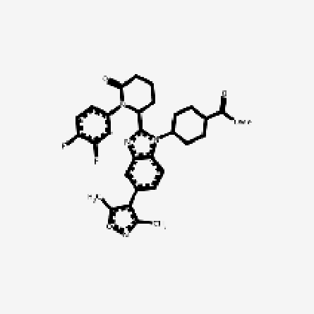 COC(=O)C1CCC(n2c(C3CCCC(=O)N3c3ccc(F)c(F)c3)nc3cc(-c4c(C)noc4C)ccc32)CC1